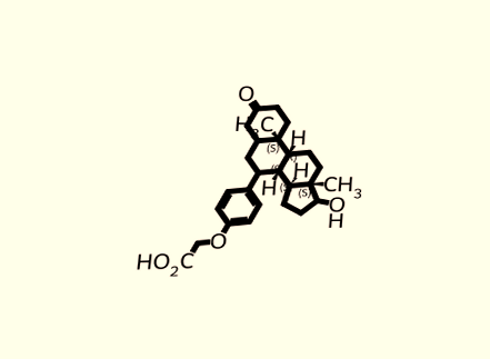 C[C@]12CCC(=O)CC1CC(c1ccc(OCC(=O)O)cc1)[C@@H]1[C@H]2CC[C@]2(C)C(O)CC[C@@H]12